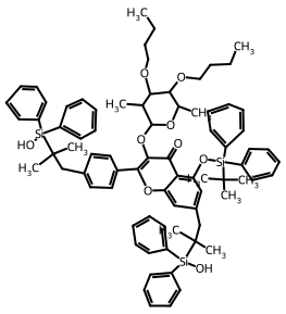 CCCCOC1C(C)OC(Oc2c(-c3ccc(CC(C)(C)[Si](O)(c4ccccc4)c4ccccc4)cc3)oc3cc(CC(C)(C)[Si](O)(c4ccccc4)c4ccccc4)cc(O[Si](c4ccccc4)(c4ccccc4)C(C)(C)C)c3c2=O)C(C)C1OCCCC